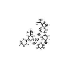 CN1CCN(c2cc(C(=O)Nc3cccc(Nc4ccc5c(c4)NC(=O)C5=Cc4cc(C(N)=O)c[nH]4)c3)cc(C(F)(F)F)c2)CC1